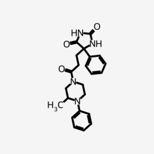 CC1CN(C(=O)CCC2(c3ccccc3)NC(=O)NC2=O)CCN1c1ccccc1